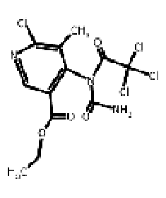 CCOC(=O)c1cnc(Cl)c(C)c1N(C(N)=O)C(=O)C(Cl)(Cl)Cl